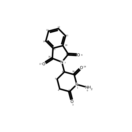 NN1C(=O)CCC(N2C(=O)c3ccccc3C2=O)C1=O